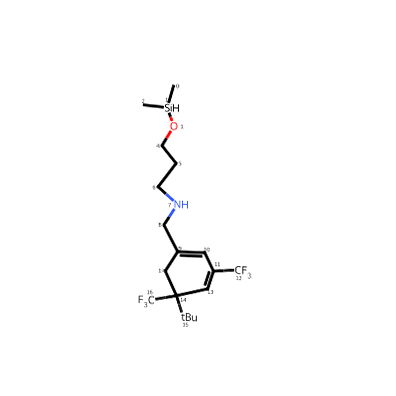 C[SiH](C)OCCCNCC1=CC(C(F)(F)F)=CC(C(C)(C)C)(C(F)(F)F)C1